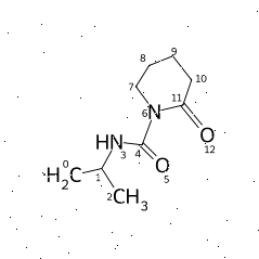 [CH2]C(C)NC(=O)N1CCCCC1=O